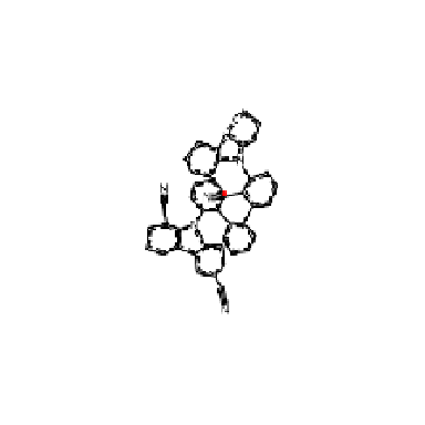 N#Cc1ccc2c(c1)c1cccc(C#N)c1n2-c1ccccc1-c1ccccc1-c1cccc(-n2c3ccccc3c3ccccc32)c1C#N